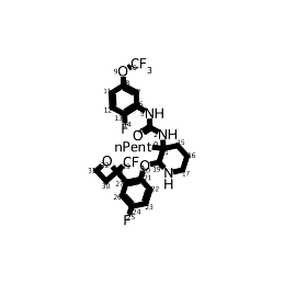 CCCCCC1(NC(=O)Nc2cc(OC(F)(F)F)ccc2F)CCCNC1Oc1ccc(F)cc1C1(C(F)(F)F)CCO1